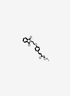 COC(=O)/C=C/c1ccc(OCCN2C(=O)c3ccccc3C2=O)cc1